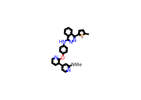 CNc1cc(-c2cccnc2Oc2ccc(Nc3nnc(-c4ccc(C)s4)c4ccccc34)cc2)ccn1